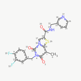 Cc1c(=O)n(Cc2ccc(F)c(F)c2)c(=O)n2cc(C(=O)NCc3cccnc3)sc12